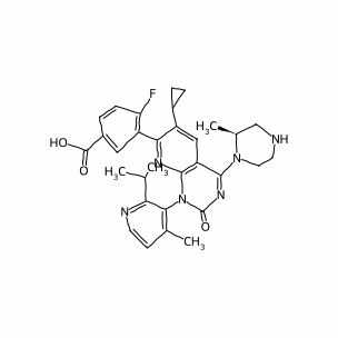 Cc1ccnc(C(C)C)c1-n1c(=O)nc(N2CCNC[C@@H]2C)c2cc(C3CC3)c(-c3cc(C(=O)O)ccc3F)nc21